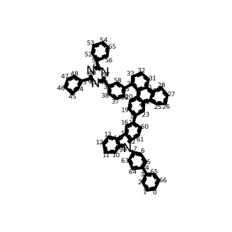 c1ccc(-c2ccc(-n3c4ccccc4c4cc(-c5ccc6c(c5)c5ccccc5c5cccc(-c7cccc(-c8nc(-c9ccccc9)nc(-c9ccccc9)n8)c7)c56)ccc43)cc2)cc1